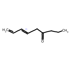 C=C/C=C/CC(=O)CCC